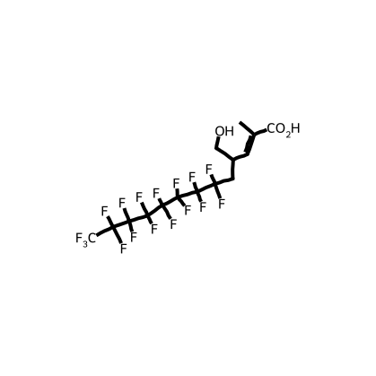 CC(=CC(CO)CC(F)(F)C(F)(F)C(F)(F)C(F)(F)C(F)(F)C(F)(F)C(F)(F)C(F)(F)F)C(=O)O